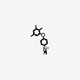 Cc1cc(C)c(C)c(Oc2ccc([N+]#N)cc2)c1